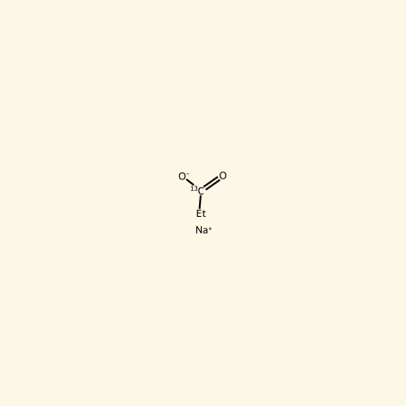 C[13CH2][13C](=O)[O-].[Na+]